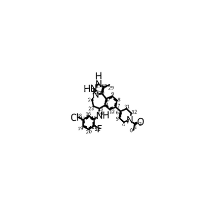 CC(=O)N1CC=C(c2ccc3c(c2)C(Nc2cc(Cl)ccc2F)CCN2NNC(C)=C32)CC1